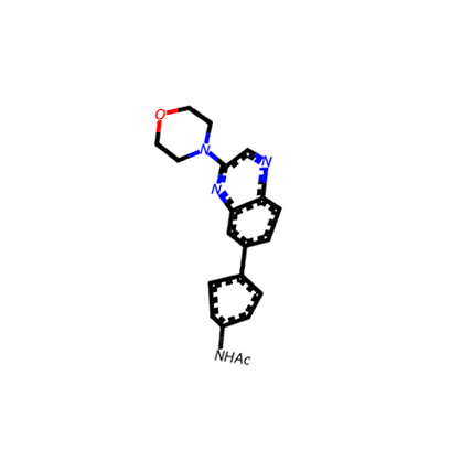 CC(=O)Nc1ccc(-c2ccc3ncc(N4CCOCC4)nc3c2)cc1